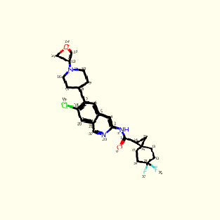 O=C(Nc1cc2cc(C3CCN(C4COC4)CC3)c(Cl)cc2cn1)C1CC12CCC(F)(F)CC2